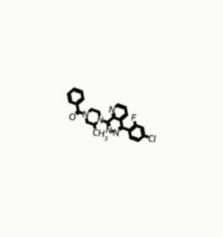 CC1CN(C(=O)c2ccccc2)CCN1c1nnc(-c2ccc(Cl)cc2F)c2cccnc12